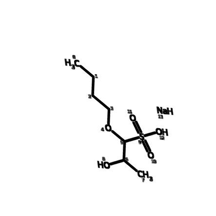 CCCCOC(C(C)O)S(=O)(=O)O.[NaH]